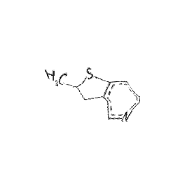 C[C]1Cc2cnccc2S1